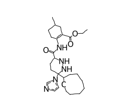 CCOC(=O)C1=C(NC(=O)C2CCC(C3CCCCCCCC3)(n3ccnc3)NN2)CCC(C)C1